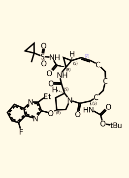 CCc1nc2cccc(F)c2nc1O[C@@H]1C[C@H]2C(=O)N[C@]3(C(=O)NS(=O)(=O)C4(C)CC4)C[C@H]3/C=C\CCCCC[C@H](NC(=O)OC(C)(C)C)C(=O)N2C1